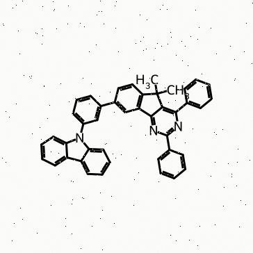 CC1(C)c2ccc(-c3cccc(-n4c5ccccc5c5ccccc54)c3)cc2-c2nc(-c3ccccc3)nc(-c3ccccc3)c21